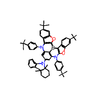 CC(C)(C)c1ccc(N2c3cc(N4c5ccccc5C5(C)CCCCC45C)cc4c3B(c3oc5cc(C(C)(C)C)ccc5c3N4c3ccc(C(C)(C)C)cc3)c3c2oc2cc(C(C)(C)C)ccc32)cc1